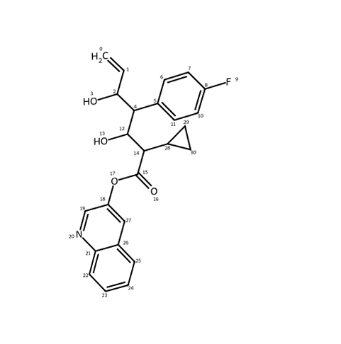 C=CC(O)C(c1ccc(F)cc1)C(O)C(C(=O)Oc1cnc2ccccc2c1)C1CC1